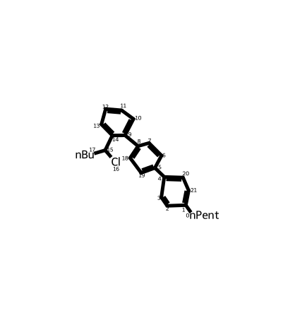 CCCCCc1ccc(-c2ccc(-c3ccccc3C(Cl)CCCC)cc2)cc1